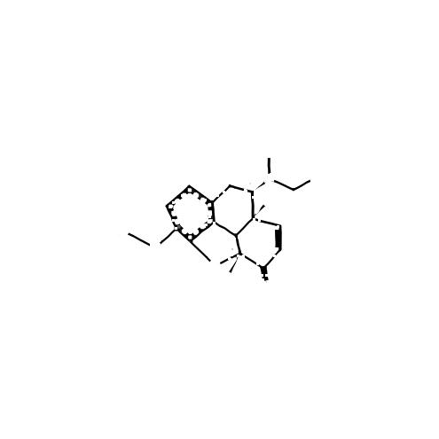 CCN(C)[C@@H]1Cc2ccc(OC)c3c2C2[C@H]1C=CC(=O)[C@@H]2O3